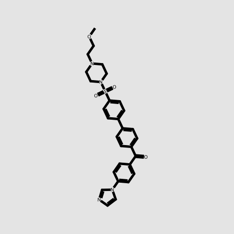 COCCN1CCN(S(=O)(=O)c2ccc(-c3ccc(C(=O)c4ccc(-n5ccnc5)cc4)cc3)cc2)CC1